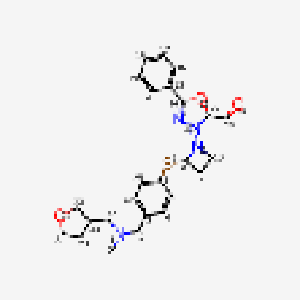 CN(Cc1ccc(SC2CCN2N2N=C(c3ccccc3)OC2C=O)cc1)CC1CCOC1